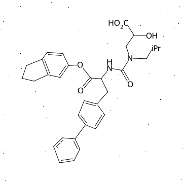 CC(C)CN(CC(O)C(=O)O)C(=O)NC(Cc1ccc(-c2ccccc2)cc1)C(=O)Oc1ccc2c(c1)CCC2